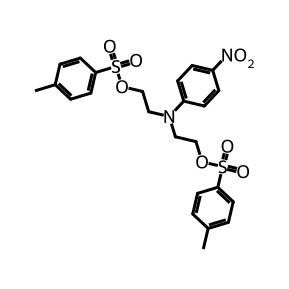 Cc1ccc(S(=O)(=O)OCCN(CCOS(=O)(=O)c2ccc(C)cc2)c2ccc([N+](=O)[O-])cc2)cc1